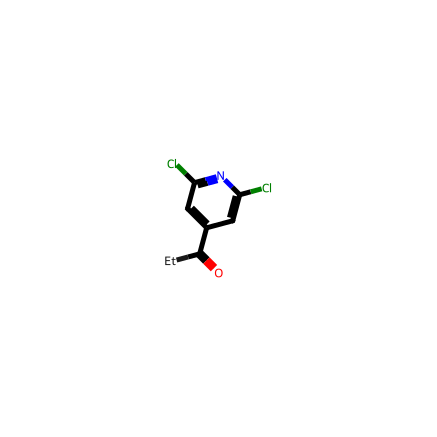 CCC(=O)c1cc(Cl)nc(Cl)c1